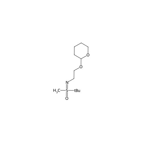 CC(C)(C)S(C)(=O)=NCCOC1CCCCO1